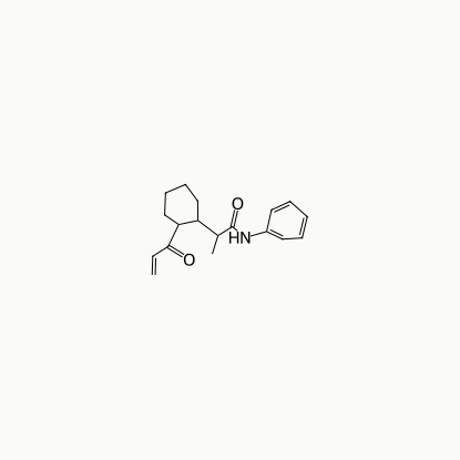 C=CC(=O)C1CCCCC1C(C)C(=O)Nc1ccccc1